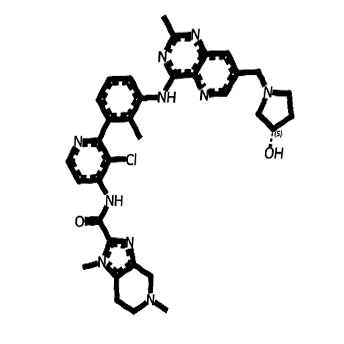 Cc1nc(Nc2cccc(-c3nccc(NC(=O)c4nc5c(n4C)CCN(C)C5)c3Cl)c2C)c2ncc(CN3CC[C@H](O)C3)cc2n1